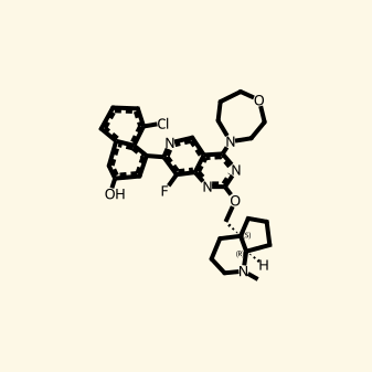 CN1CCC[C@@]2(COc3nc(N4CCCOCC4)c4cnc(-c5cc(O)cc6cccc(Cl)c56)c(F)c4n3)CCC[C@@H]12